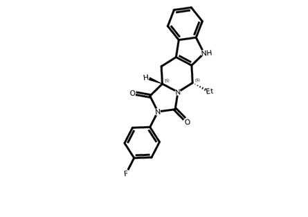 CC[C@H]1c2[nH]c3ccccc3c2C[C@H]2C(=O)N(c3ccc(F)cc3)C(=O)N21